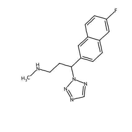 CNCCC(c1ccc2cc(F)ccc2c1)n1ncnn1